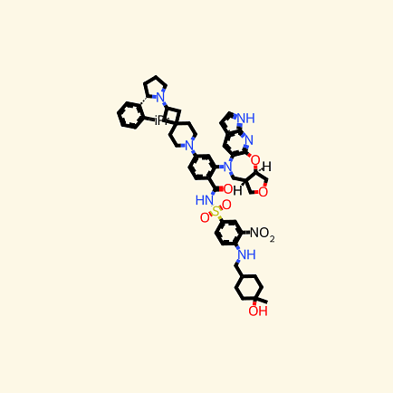 CC(C)c1ccccc1[C@@H]1CCCN1C1CC2(CCN(c3ccc(C(=O)NS(=O)(=O)c4ccc(NCC5CCC(C)(O)CC5)c([N+](=O)[O-])c4)c(N4C[C@H]5COC[C@@H]5Oc5nc6[nH]ccc6cc54)c3)CC2)C1